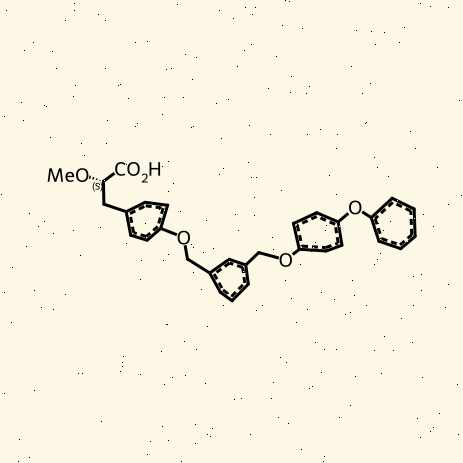 CO[C@@H](Cc1ccc(OCc2cccc(COc3ccc(Oc4ccccc4)cc3)c2)cc1)C(=O)O